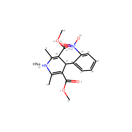 COC(=O)C1=C(C)NC(C)=C(C(=O)OC)C1c1ccccc1[N+](=O)[O-].[NaH]